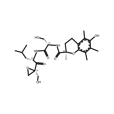 Cc1c(C)c2c(c(C)c1O)CC[C@](C)(C(=O)N[C@@H](CO)C(=O)N[C@@H](CC(C)C)C(=O)[C@@]1(CO)CO1)O2